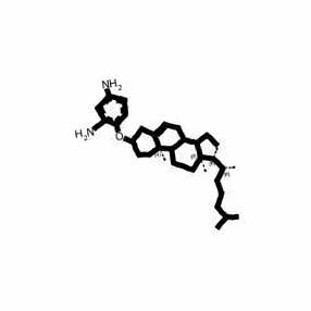 CC(C)CCC[C@@H](C)[C@H]1CCC2C3CC=C4CC(Oc5ccc(N)cc5N)CC[C@]4(C)C3CC[C@@]21C